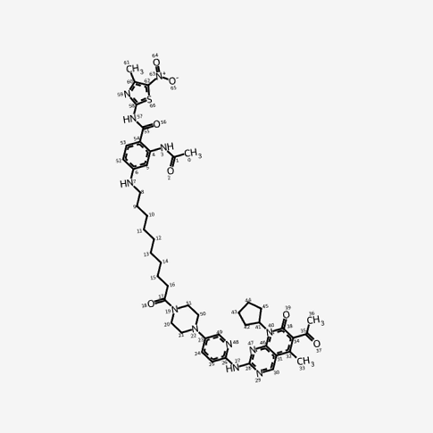 CC(=O)Nc1cc(NCCCCCCCCCC(=O)N2CCN(c3ccc(Nc4ncc5c(C)c(C(C)=O)c(=O)n(C6CCCC6)c5n4)nc3)CC2)ccc1C(=O)Nc1nc(C)c([N+](=O)[O-])s1